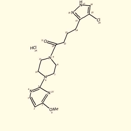 COc1ccnc(N2CCN(C(=O)CCCc3n[nH]cc3Cl)CC2)n1.Cl